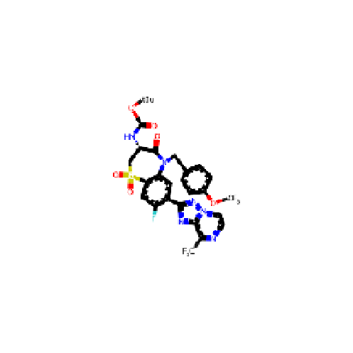 CC(C)(C)OC(=O)N[C@H]1CS(=O)(=O)c2cc(F)c(-c3nc4c(C(F)(F)F)nccn4n3)cc2N(Cc2ccc(OC(F)(F)F)cc2)C1=O